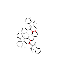 CC1(C)c2ccccc2-c2cc(-c3ccccc3N(c3ccccc3-c3cccc4c3-c3ccccc3C4(C)C)c3cccc4c3-c3ccccc3C43CCCCC3)ccc21